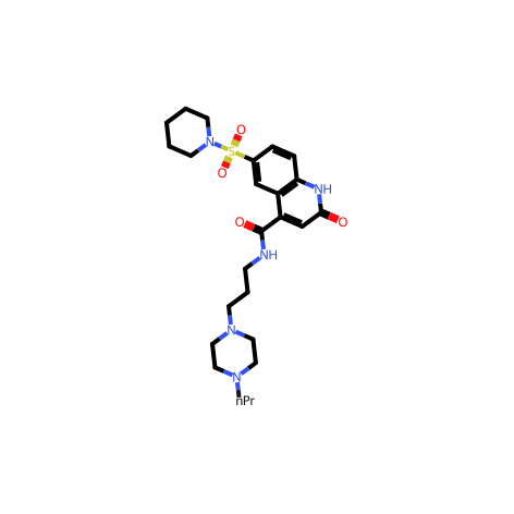 CCCN1CCN(CCCNC(=O)c2cc(=O)[nH]c3ccc(S(=O)(=O)N4CCCCC4)cc23)CC1